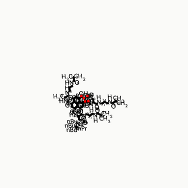 C=C(C)C(=O)NCCCNC(=O)C(C)NS(=O)(=O)c1cc(S(=O)(=O)NC(CS(=O)(=O)ON(CCCC)C(CCC)(CCCC)CCCC)C(=O)NCCCNC(=O)C(=C)C)c2ccc3c(S(=O)(=O)NC(CS(=O)(=O)ON(CCCC)C(CCC)(CCCC)CCCC)C(=O)NCCCNC(=O)C(=C)C)cc(O)c4ccc1c2c43